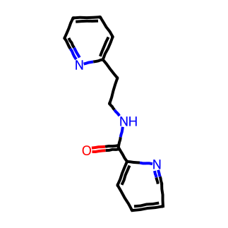 O=C(NCCc1ccccn1)c1ccccn1